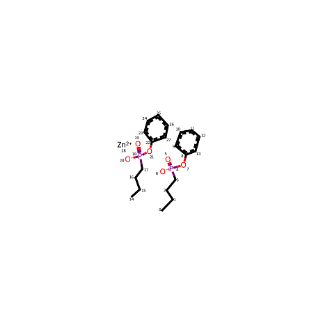 CCCCP(=O)([O-])Oc1ccccc1.CCCCP(=O)([O-])Oc1ccccc1.[Zn+2]